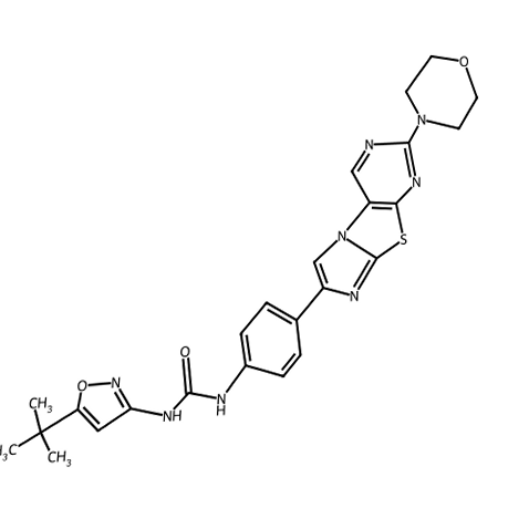 CC(C)(C)c1cc(NC(=O)Nc2ccc(-c3cn4c(n3)sc3nc(N5CCOCC5)ncc34)cc2)no1